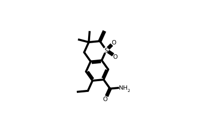 C=C1C(C)(C)Cc2cc(CC)c(C(N)=O)cc2S1(=O)=O